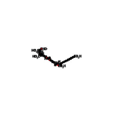 O=[C]CC[C@H](NC(=O)[C@H](CCC(=O)O)NC(=O)COCCOCCNC(=O)COCCOCCNC(=O)CC[C@H](NC(=O)CCCCCCCCCCCCCCCCC(=O)O)C(=O)O)C(=O)O